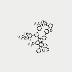 Cc1cc2c3c(c1)N(c1ccccc1)c1c(ccc4c1OCCO4)B3c1ccc(-c3ccc4c(c3)oc3ccccc34)cc1N2c1cc(-c2ccc(C(C)(C)C)cc2)cc(-c2ccc(C(C)(C)C)cc2)c1